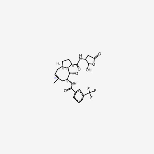 C/C1=C/C[C@H]2CC[C@@H](C(=O)NC3CC(=O)OC3O)N2C(=O)[C@@H](NC(=O)c2cccc(C(F)(F)F)c2)C1